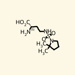 CC1(C)CCCN1S(=O)(=O)NCC[C@H](N)C(=O)O